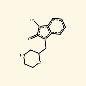 CC(C)n1c(=O)n(CC2CNCCO2)c2ccccc21